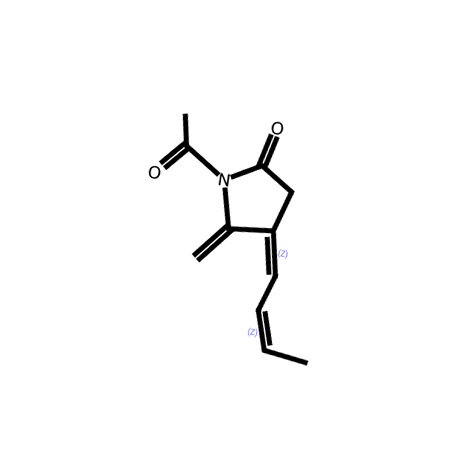 C=C1/C(=C\C=C/C)CC(=O)N1C(C)=O